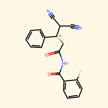 N#CC(C#N)[C@H](CC(=O)NC(=O)c1ccccc1F)c1ccccc1